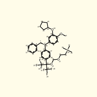 COc1ccc([C@H](Cc2ccncc2)c2ccc(C(OCOCC[Si](C)(C)C)(C(F)(F)F)C(F)(F)F)cc2)cc1OC1CCCC1